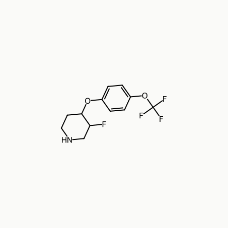 FC1CNCCC1Oc1ccc(OC(F)(F)F)cc1